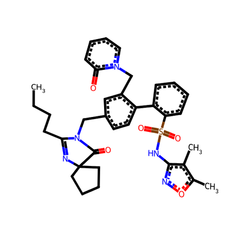 CCCCC1=NC2(CCCC2)C(=O)N1Cc1ccc(-c2ccccc2S(=O)(=O)Nc2noc(C)c2C)c(Cn2ccccc2=O)c1